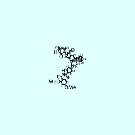 COc1cc(OC)c2c(=O)[nH]c(-c3ccc(N4CCC(CN5C6CC5CN(c5ccc7c(c5)C(C(=O)C=O)N(C5CCC(=O)NC5=O)C7)C6)CC4)cc3)nc2c1